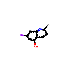 Cc1ccc2c(O)cc(I)cc2n1